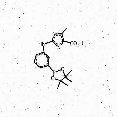 Cc1sc(Nc2cccc(B3OC(C)(C)C(C)(C)O3)c2)nc1C(=O)O